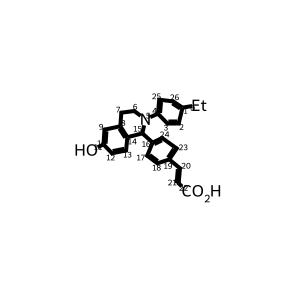 CCc1ccc(N2CCc3cc(O)ccc3C2c2ccc(C=CC(=O)O)cc2)cc1